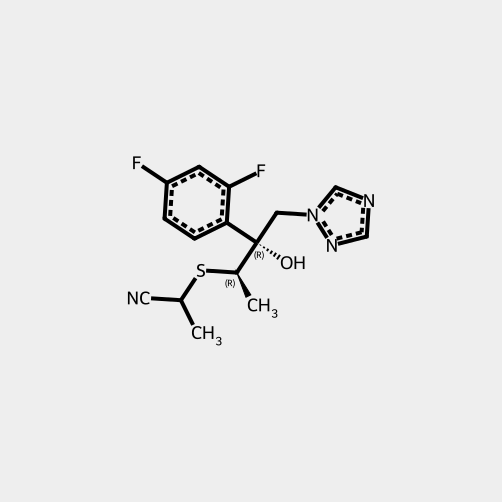 CC(C#N)S[C@H](C)[C@](O)(Cn1cncn1)c1ccc(F)cc1F